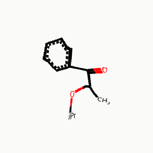 CC(C)OC(C)C(=O)c1ccccc1